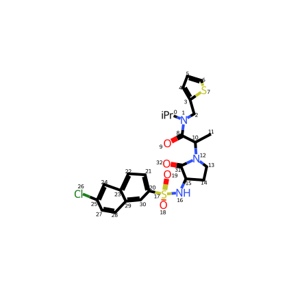 CC(C)N(Cc1cccs1)C(=O)C(C)N1CCC(NS(=O)(=O)c2ccc3cc(Cl)ccc3c2)C1=O